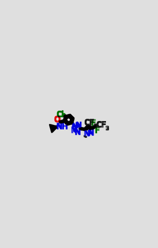 Cn1nc(C(F)(F)C(F)(F)F)c(C(F)(F)F)c1-c1nnn(-c2ccc(Cl)c(C(=O)NC3CC3)c2)n1